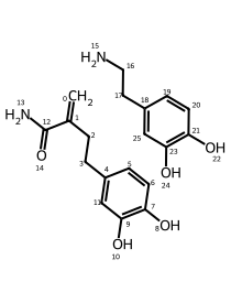 C=C(CCc1ccc(O)c(O)c1)C(N)=O.NCCc1ccc(O)c(O)c1